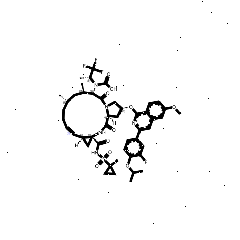 COc1ccc2c(O[C@@H]3C[C@H]4C(=O)N[C@]5(C(=O)NS(=O)(=O)C6(C)CC6)C[C@H]5/C=C\CC[C@H](C)C[C@@H](C)[C@H](N(C(=O)O)[C@H](C)C(F)(F)F)C(=O)N4C3)nc(-c3ccc(OC(C)C)c(F)c3)cc2c1